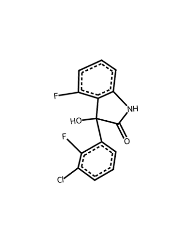 O=C1Nc2cccc(F)c2C1(O)c1cccc(Cl)c1F